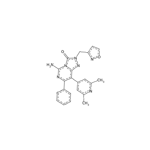 Cc1cc(-c2c(-c3ccccc3)nc(N)n3c(=O)n(Cc4ccon4)nc23)cc(C)n1